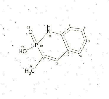 CC1=Cc2ccccc2NP1(=O)O